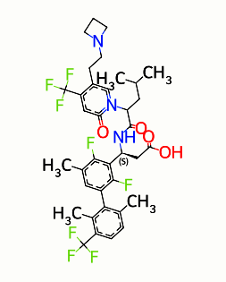 Cc1cc(-c2c(C)ccc(C(F)(F)F)c2C)c(F)c([C@H](CC(=O)O)NC(=O)C(CC(C)C)n2cc(CCN3CCC3)c(C(F)(F)F)cc2=O)c1F